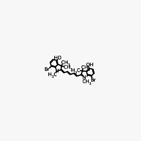 CN1/C(=C/C=C/C=C/C2=[N+](C)c3c(Br)ccc(O)c3C2(C)C)C(C)(C)c2c(O)ccc(Br)c21